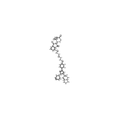 O=C1CCC(N2C(=O)c3cccc(OCCOCCOc4ccc(-n5cc(C6=CCC7CCCC7=C6)c(-c6ccncc6)n5)cc4)c3C2=O)C(=O)N1